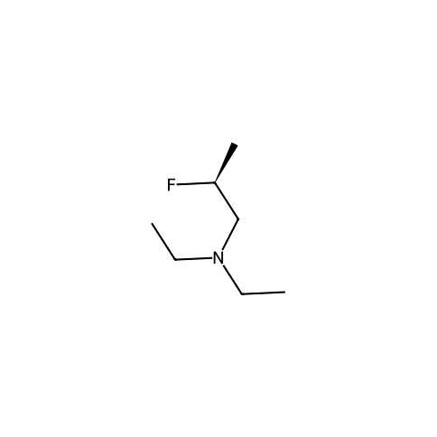 CCN(CC)C[C@H](C)F